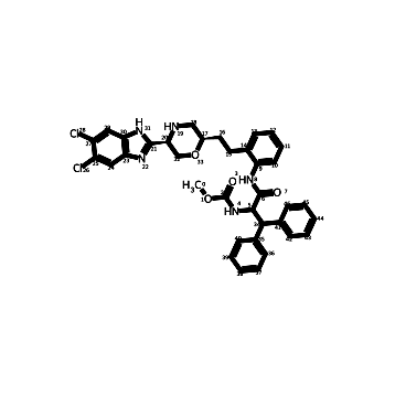 COC(=O)NC(C(=O)Nc1ccccc1CC[C@@H]1CN[C@H](c2nc3cc(Cl)c(Cl)cc3[nH]2)CO1)C(c1ccccc1)c1ccccc1